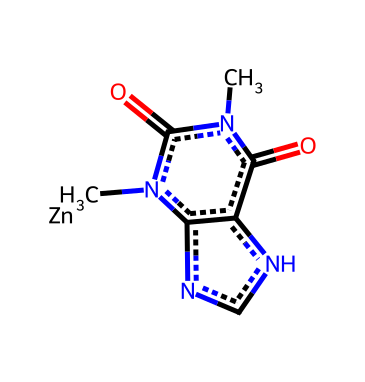 Cn1c(=O)c2[nH]cnc2n(C)c1=O.[Zn]